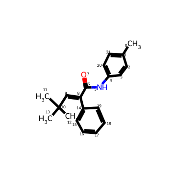 Cc1ccc(NC(=O)C(=CC(C)(C)C)c2ccccc2)cc1